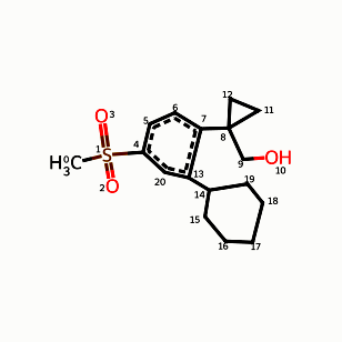 CS(=O)(=O)c1ccc(C2(CO)CC2)c(C2CCCCC2)c1